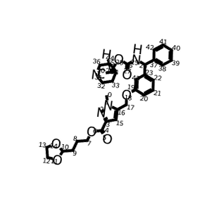 Cn1nc(C(=O)OCCCC2OCCO2)cc1COc1cccc(C(NC(=O)O[C@H]2CN3CCC2CC3)c2ccccc2)c1